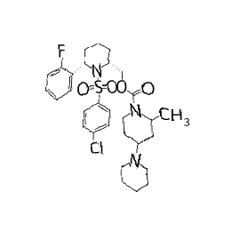 CC1CC(N2CCCCC2)CCN1C(=O)OC[C@H]1CCC[C@@H](c2ccccc2F)N1S(=O)(=O)c1ccc(Cl)cc1